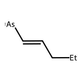 CCCC=C[As]